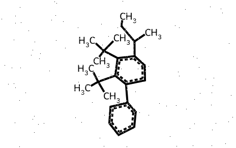 CCC(C)c1ccc(-c2ccccc2)c(C(C)(C)C)c1C(C)(C)C